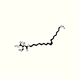 CCCCCCCC/C=C\CCCCCCCCOC(=O)N[C@@H](CO)C(C)C